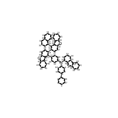 c1ccc(-c2ccc(N(c3ccc(-c4c(-c5ccc6oc7ccccc7c6c5-c5cccc6ccccc56)ccc5oc6ccccc6c45)cc3)c3cccc4c3sc3ccccc34)cc2)cc1